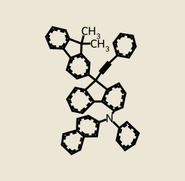 CC1(C)c2ccccc2-c2ccc(C3(C#Cc4ccccc4)c4ccccc4-c4c(N(c5ccccc5)c5ccc6ccccc6c5)cccc43)cc21